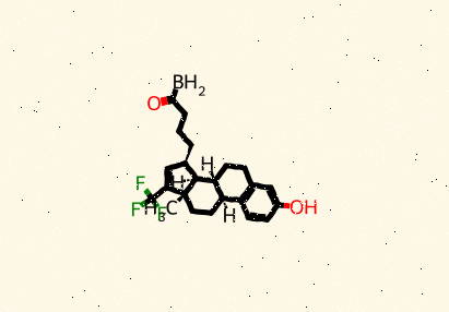 BC(=O)CCC[C@@H]1C=C(C(F)(F)F)[C@@]2(C)CC[C@@H]3c4ccc(O)cc4CC[C@H]3[C@H]12